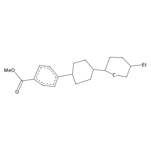 CCC1CCC(C2CCC(c3ccc(C(=O)OC)cc3)CC2)CC1